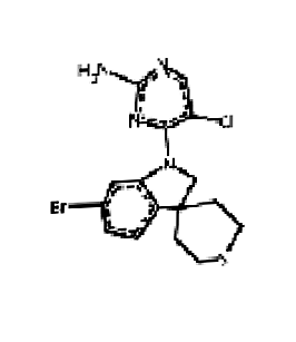 Nc1ncc(Cl)c(N2CC3(CCSCC3)c3ccc(Br)cc32)n1